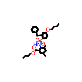 CCCCOC(=O)c1cc(C)cc(C)c1NS(=O)(=O)c1ccc(OCCCC)cc1Cc1ccccc1